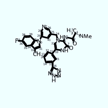 CN[C@@H](C)C(=O)NC1C(=O)NC(c2cccc(-c3nn[nH]n3)c2)=CN1Cc1cncc(-n2cc(C)c3cc(F)ccc32)c1